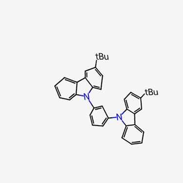 CC(C)(C)c1ccc2c(c1)c1ccccc1n2-c1cccc(-n2c3ccccc3c3cc(C(C)(C)C)ccc32)c1